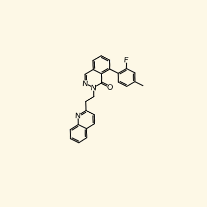 Cc1ccc(-c2cccc3cnn(CCc4ccc5ccccc5n4)c(=O)c23)c(F)c1